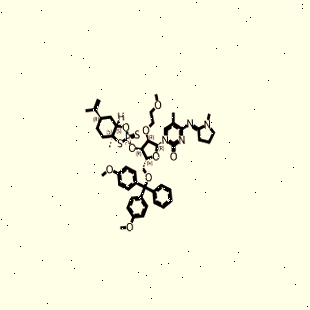 C=C(C)[C@@H]1CC[C@]2(C)S[P@](=S)(O[C@H]3[C@@H](OCCOC)[C@H](n4cc(C)c(N=C5CCCN5C)nc4=O)O[C@@H]3COC(c3ccccc3)(c3ccc(OC)cc3)c3ccc(OC)cc3)O[C@H]2C1